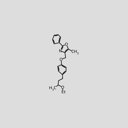 CCOC(C)CCc1ccc(OCc2nc(-c3ccccc3)oc2C)cc1